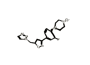 [O-][S+]1CCN(c2ccc(C3=NOC(Cn4ccnn4)C3)cc2F)CC1